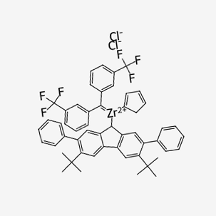 CC(C)(C)c1cc2c(cc1-c1ccccc1)[CH]([Zr+2]([C]1=CC=CC1)=[C](c1cccc(C(F)(F)F)c1)c1cccc(C(F)(F)F)c1)c1cc(-c3ccccc3)c(C(C)(C)C)cc1-2.[Cl-].[Cl-]